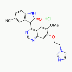 COc1cc2c(C3C(=O)Nc4ccc(C#N)cc43)ncnc2cc1OCCn1ccnc1.Cl